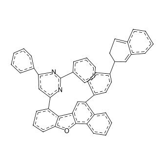 C1=c2ccccc2=CC(c2ccc(-c3cc4c(oc5cccc(-c6cc(-c7ccccc7)nc(-c7ccccc7)n6)c54)c4ccccc34)cc2)C1